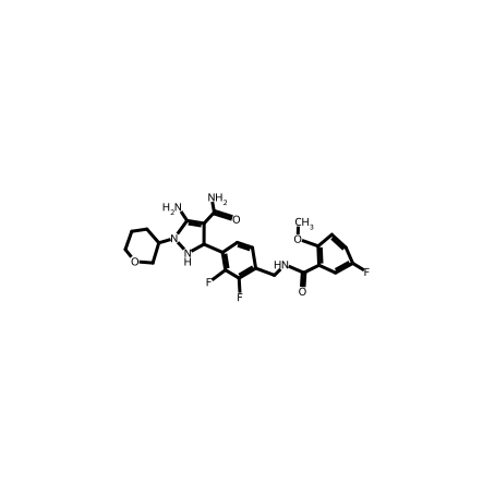 COc1ccc(F)cc1C(=O)NCc1ccc(C2NN(C3CCCOC3)C(N)=C2C(N)=O)c(F)c1F